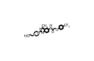 Cc1nc(N2CCN(CCO)CC2)nc2ccc(NC(=O)COc3ccc(C(F)(F)F)cc3)cc12